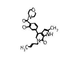 C/C=C/Cn1cc(-c2ccc(C(=O)N3CCOCC3)c(Cl)c2)c2cc(C)[nH]c2c1=O